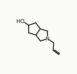 C=CCN1CC2CC(O)CC2C1